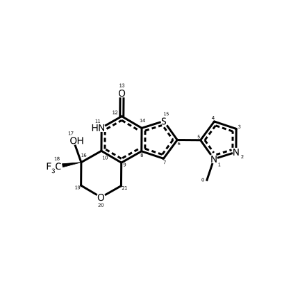 Cn1nccc1-c1cc2c3c([nH]c(=O)c2s1)[C@](O)(C(F)(F)F)COC3